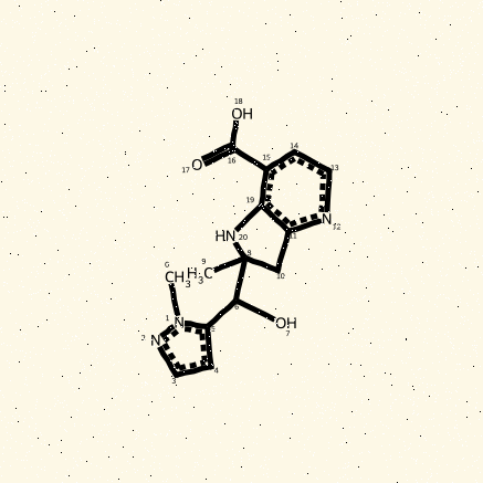 Cn1nccc1C(O)C1(C)Cc2nccc(C(=O)O)c2N1